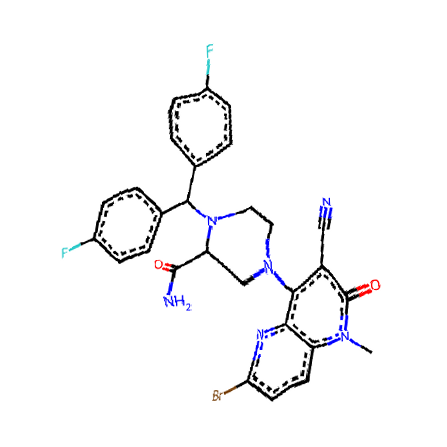 Cn1c(=O)c(C#N)c(N2CCN(C(c3ccc(F)cc3)c3ccc(F)cc3)C(C(N)=O)C2)c2nc(Br)ccc21